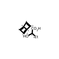 CCC(O)C(=O)O.c1cc2ccc1-2